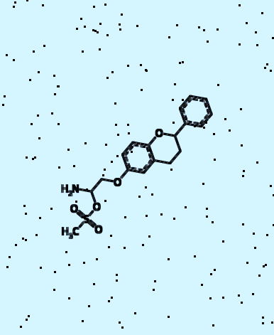 CS(=O)(=O)OC(N)COc1ccc2c(c1)CCC(c1ccccc1)O2